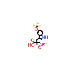 CC(Cc1c[nH]c2ccc(OC(F)(F)F)cc12)(C[N+](=O)[O-])C(=O)O